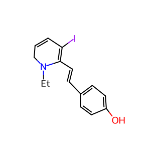 CCN1CC=CC(I)=C1C=Cc1ccc(O)cc1